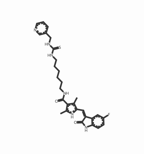 Cc1[nH]c(/C=C2\C(=O)Nc3ccc(F)cc32)c(C)c1C(=O)NCCCCCCNC(=S)NCc1cccnc1